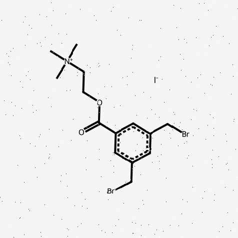 C[N+](C)(C)CCOC(=O)c1cc(CBr)cc(CBr)c1.[I-]